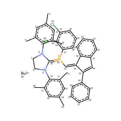 Cc1cc(C)c(N2CCN(c3c(C)cc(C)cc3C)C2=[PH](C=C2C(c3ccccc3)=Cc3ccccc32)c2cccc(Cl)c2Cl)c(C)c1.[Ru+2]